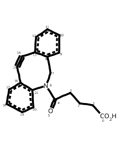 O=C(O)CCCC(=O)N1Cc2ccccc2C#Cc2ccccc21